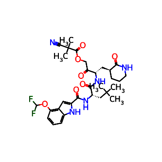 CC(C)(C)C[C@H](NC(=O)c1cc2c(OC(F)F)cccc2[nH]1)C(=O)N[C@@H](C[C@@H]1CCCNC1=O)C(=O)COC(=O)C(C)(C)C#N